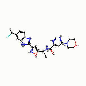 CC(F)c1ccc2nc(-c3cc([C@H](C)NC(=O)c4cc(N5CCOCC5)ncn4)on3)[nH]c2c1